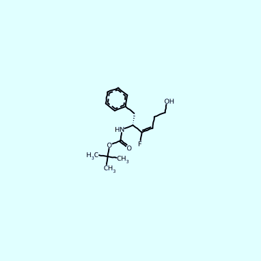 CC(C)(C)OC(=O)N[C@H](Cc1ccccc1)/C(F)=C\CCO